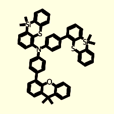 CC1(C)c2ccccc2Oc2c(-c3ccc(N(c4ccc(-c5cccc6c5Sc5ccccc5[Si]6(C)C)cc4)c4cccc5c4Sc4ccccc4[Si]5(C)C)cc3)cccc21